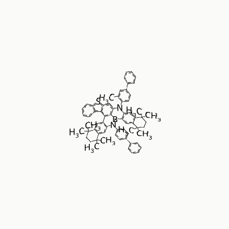 Cc1cc(-c2ccccc2)ccc1N1c2cc3c(cc2B2c4c1cc1sc5ccccc5c1c4-c1cc4c(cc1N2c1ccc(-c2ccccc2)cc1)C(C)(C)CCC4(C)C)C(C)(C)CCC3(C)C